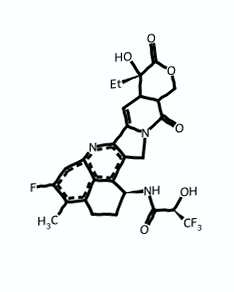 CC[C@@]1(O)C(=O)OCC2C(=O)N3Cc4c(nc5cc(F)c(C)c6c5c4[C@@H](NC(=O)[C@@H](O)C(F)(F)F)CC6)C3=CC21